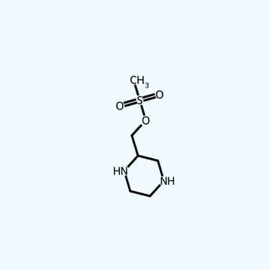 CS(=O)(=O)OCC1CNCCN1